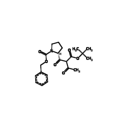 CC(=O)C(C(=O)OC(C)(C)C)C(=O)[C@H]1CCCN1C(=O)OCc1ccccc1